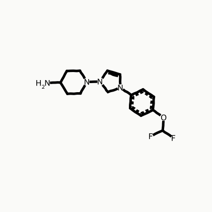 NC1CCN(N2C=CN(c3ccc(OC(F)F)cc3)C2)CC1